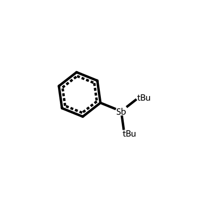 C[C](C)(C)[Sb]([c]1ccccc1)[C](C)(C)C